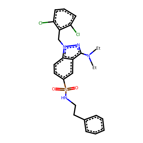 CCN(CC)c1nn(Cc2c(Cl)cccc2Cl)c2ccc(S(=O)(=O)NCCc3ccccc3)cc12